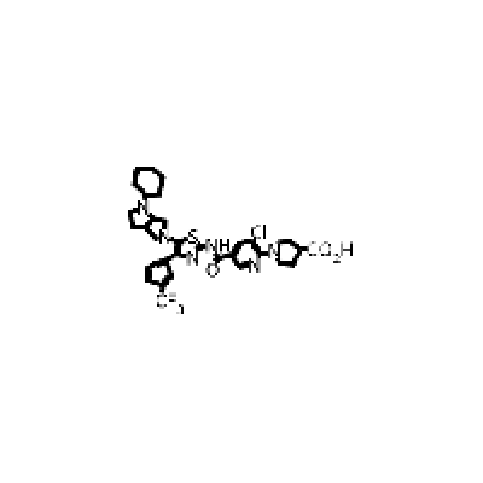 O=C(Nc1nc(-c2cccc(C(F)(F)F)c2)c(N2CC3CCN(C4CCCCC4)C3C2)s1)c1cnc(N2CCC(C(=O)O)CC2)c(Cl)c1